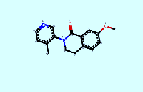 COc1ccc2c(c1)C(=O)N(c1cnccc1C)CC2